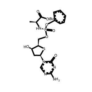 CC(C)COC(=O)[C@H](C)N[P@](=O)(OC[C@H]1S[C@@H](n2cnc(N)nc2=O)C[C@H]1O)Oc1ccccc1